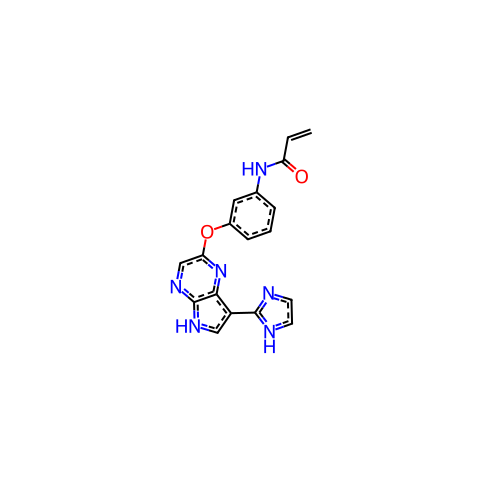 C=CC(=O)Nc1cccc(Oc2cnc3[nH]cc(-c4ncc[nH]4)c3n2)c1